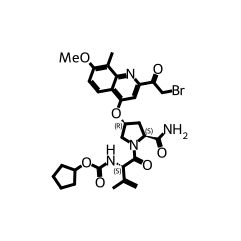 C=C(C)[C@H](NC(=O)OC1CCCC1)C(=O)N1C[C@H](Oc2cc(C(=O)CBr)nc3c(C)c(OC)ccc23)C[C@H]1C(N)=O